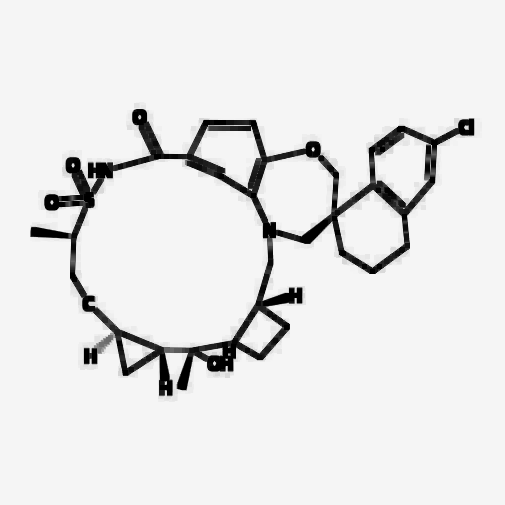 C[C@@H]1CC[C@@H]2C[C@H]2[C@@](C)(O)[C@@H]2CC[C@H]2CN2C[C@@]3(CCCc4cc(Cl)ccc43)COc3ccc(cc32)C(=O)NS1(=O)=O